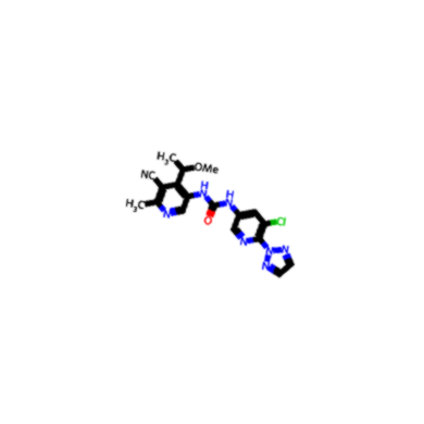 COC(C)c1c(NC(=O)Nc2cnc(-n3nccn3)c(Cl)c2)cnc(C)c1C#N